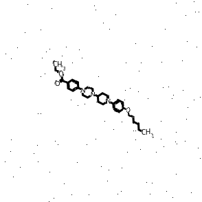 CCCCCCOc1ccc(N2CCC(N3CCN(c4ccc(C(=O)OCC)cc4)CC3)CC2)cc1